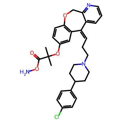 CC(C)(Oc1ccc2c(c1)C(=CCCN1CCC(c3ccc(Cl)cc3)CC1)c1cccnc1CO2)C(=O)ON